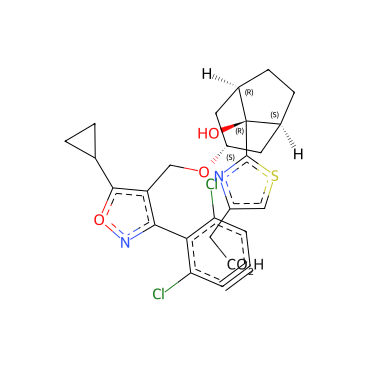 O=C(O)Cc1csc([C@]2(O)[C@@H]3CC[C@H]2C[C@H](OCc2c(-c4c(Cl)c#ccc4Cl)noc2C2CC2)C3)n1